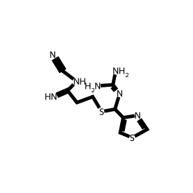 N#CNC(=N)CCSC(N=C(N)N)c1cscn1